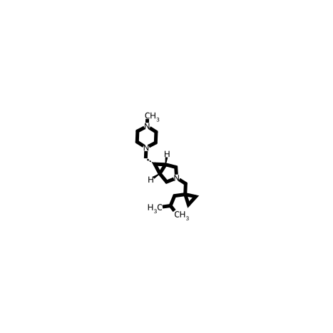 CC(C)CC1(CN2C[C@@H]3[C@H](CN4CCN(C)CC4)[C@@H]3C2)CC1